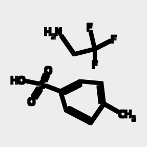 Cc1ccc(S(=O)(=O)O)cc1.NCC(F)(F)F